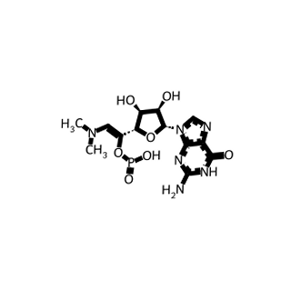 CN(C)C=C(O[P](=O)O)[C@H]1O[C@@H](n2cnc3c(=O)[nH]c(N)nc32)[C@H](O)[C@@H]1O